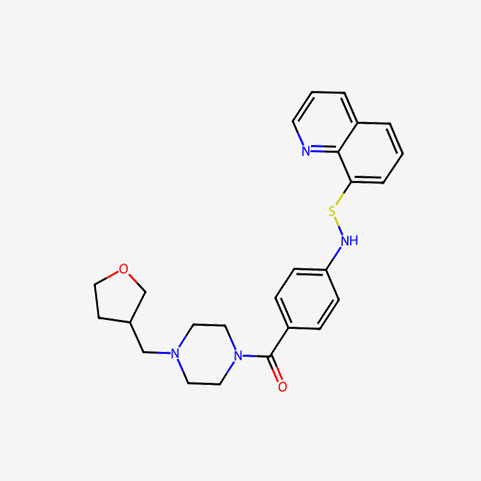 O=C(c1ccc(NSc2cccc3cccnc23)cc1)N1CCN(CC2CCOC2)CC1